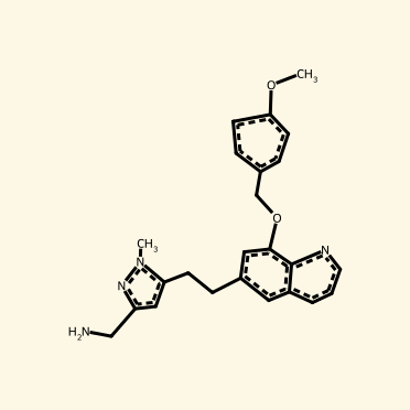 COc1ccc(COc2cc(CCc3cc(CN)nn3C)cc3cccnc23)cc1